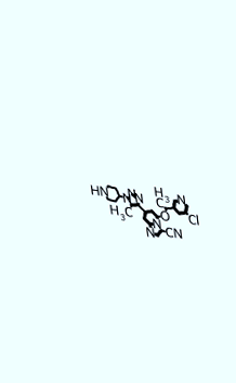 Cc1c(-c2cc(OC(C)c3cncc(Cl)c3)n3c(C#N)cnc3c2)nnn1C1CCNCC1